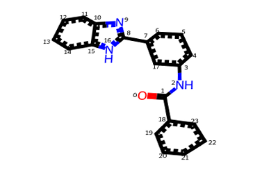 O=C(Nc1cccc(-c2nc3ccccc3[nH]2)c1)c1ccccc1